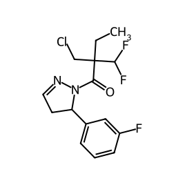 CCC(CCl)(C(=O)N1N=CCC1c1cccc(F)c1)C(F)F